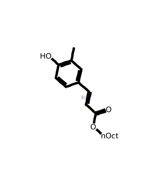 CCCCCCCCOC(=O)/C=C/c1ccc(O)c(C)c1